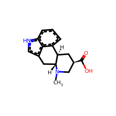 CN1C[C@H](C(=O)O)C[C@@H]2c3cccc4[nH]cc(c34)C[C@H]21